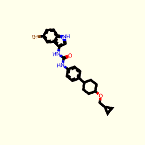 O=C(Nc1ccc(C2CCC(OCC3CC3)CC2)cc1)Nc1c[nH]c2ccc(Br)cc12